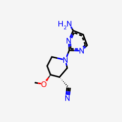 CO[C@H]1CCN(c2nccc(N)n2)C[C@@H]1C#N